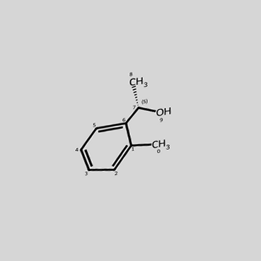 Cc1ccccc1[C@H](C)O